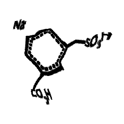 O=C(O)c1cccc(S(=O)(=O)O)c1.[Na]